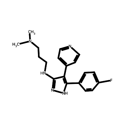 CN(C)CCCNc1n[nH]c(-c2ccc(F)cc2)c1-c1ccncc1